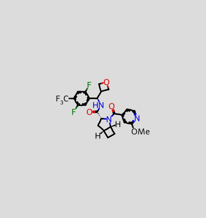 COc1cc(C(=O)N2[C@@H](C(=O)N[C@@H](c3cc(F)c(C(F)(F)F)cc3F)C3COC3)C[C@H]3CC[C@H]32)ccn1